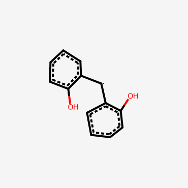 Oc1ccccc1[CH]c1ccccc1O